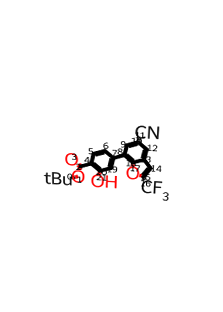 CC(C)(C)OC(=O)c1ccc(-c2cc(C#N)cc3cc(C(F)(F)F)oc23)cc1O